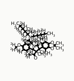 [2H]OC(=O)[C@]1(C)[C@@](C)(c2c([2H])c([2H])c3c(c2C)OC(C)(C)O3)C([2H])([2H])N(C([2H])([2H])C(=O)N(C([2H])([2H])C([2H])(C)C([2H])([2H])C([2H])([2H])C)C([2H])([2H])C([2H])(C)C([2H])([2H])C([2H])([2H])C)[C@@]1([2H])c1c([2H])c([2H])c(OC([2H])([2H])[2H])c([2H])c1[2H]